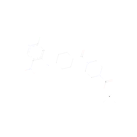 C[C@@H]1CN(C(=O)OC(C)(C)C)CCN1C(=O)[C@H]1CC[C@@H](Nc2cc(Cl)ncc2[N+](=O)[O-])CC1